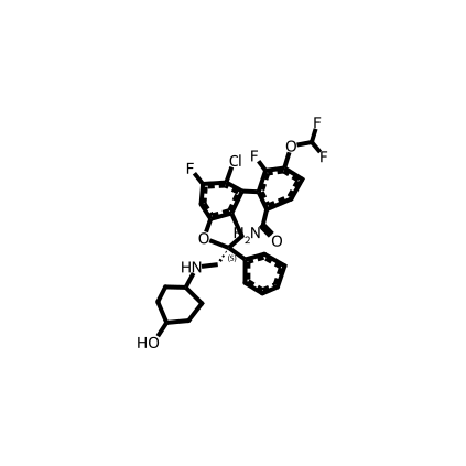 NC(=O)c1ccc(OC(F)F)c(F)c1-c1c(Cl)c(F)cc2c1C[C@@](CNC1CCC(O)CC1)(c1ccccc1)O2